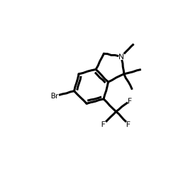 CN1Cc2cc(Br)cc(C(F)(F)F)c2C1(C)C